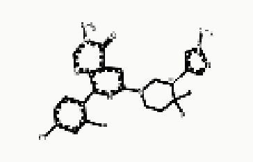 Cn1cc([C@@H]2CN(c3cc4c(=O)n(C)cnc4c(-c4ccc(Cl)cc4F)n3)CCC2(F)F)cn1